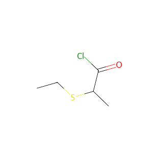 CCSC(C)C(=O)Cl